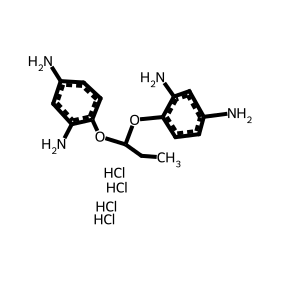 CCC(Oc1ccc(N)cc1N)Oc1ccc(N)cc1N.Cl.Cl.Cl.Cl